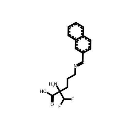 NC(CCCN=Cc1ccc2ccccc2c1)(C(=O)O)C(F)F